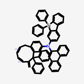 C=C1/C=C\C=C/Cc2ccc(N(c3ccc4c(c3)[Si](c3ccccc3)(c3ccccc3)c3ccccc3-4)c3cc4ccccc4c4ccccc34)cc2C1(c1ccccc1)c1ccccc1